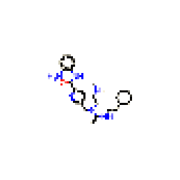 C=C(NCCC1=CCCCC1)N(CCN(C)C)Cc1ccc(C(=O)Nc2ccccc2N)nc1